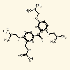 CC(C)COc1ccc(OCC(C)C)c(C(=O)c2ccc(OCC(C)C)c(CCC(=O)O)c2)c1